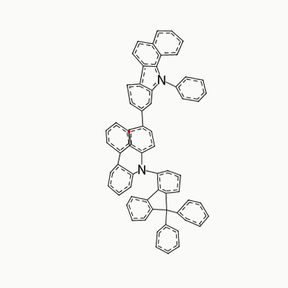 c1ccc(-c2ccccc2N(c2ccc(-c3ccc4c5ccc6ccccc6c5n(-c5ccccc5)c4c3)cc2)c2cccc3c2-c2ccccc2C3(c2ccccc2)c2ccccc2)cc1